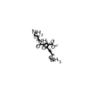 COC(=O)c1cc(C(=O)NCCCN)oc1C#CCON